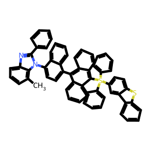 Cc1cccc2nc(-c3ccccc3)n(-c3ccc(-c4c5ccccc5c(S(c5ccccc5)(c5ccccc5)c5ccc6sc7ccccc7c6c5)c5ccccc45)c4ccccc34)c12